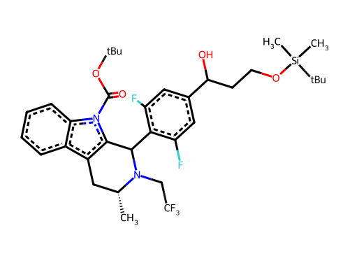 C[C@@H]1Cc2c(n(C(=O)OC(C)(C)C)c3ccccc23)C(c2c(F)cc(C(O)CCO[Si](C)(C)C(C)(C)C)cc2F)N1CC(F)(F)F